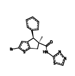 C[C@]1(C(=O)Nc2nncs2)Cc2sc(Br)cc2[C@H]1c1ccccc1